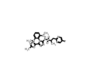 COc1cccc(OC)c1-n1c(NS(=O)(=O)C(C)Cc2ncc(F)cn2)nnc1-c1nnc(C)o1